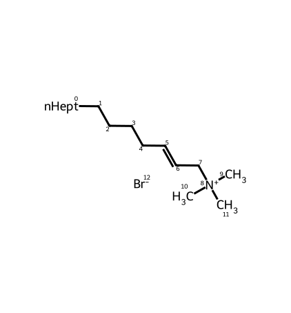 CCCCCCCCCCCC=CC[N+](C)(C)C.[Br-]